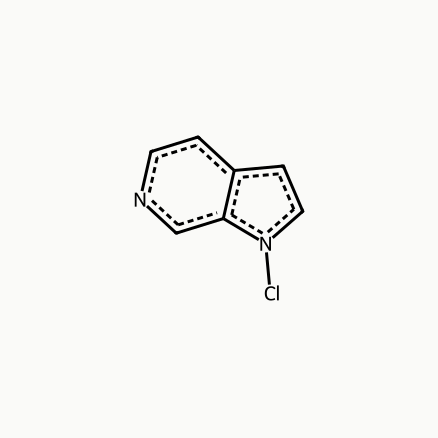 Cln1ccc2ccncc21